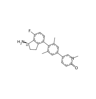 Cc1cc(-c2ccc(=O)n(C)c2)cc(C)c1-c1ccc(F)c2c1CC[C@H]2N